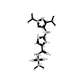 CC(C)c1nn(C(C)C)cc1Nc1nc(C(=O)NS(=O)(=O)N(C)C)co1